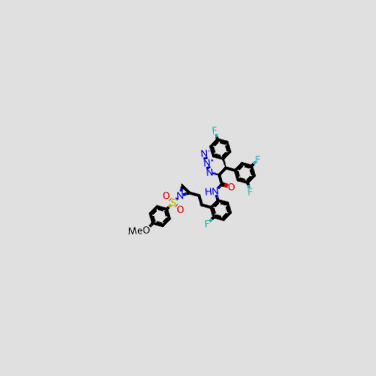 COc1ccc(S(=O)(=O)N2CC2CCc2c(F)cccc2NC(=O)[C@@H](N=[N+]=[N-])[C@@H](c2ccc(F)cc2)c2cc(F)cc(F)c2)cc1